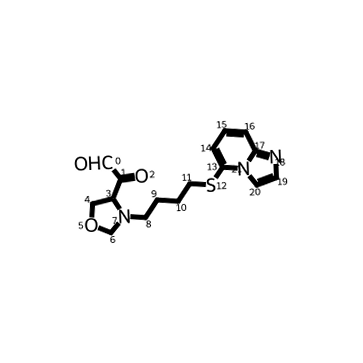 O=CC(=O)C1COCN1CCCCSc1cccc2nccn12